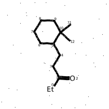 CCC(=O)CCC1CCCCC1(C)C